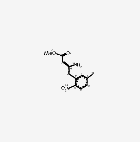 COC(=O)C=C(N)Cc1cc(C)ccc1[N+](=O)[O-]